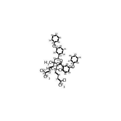 CC(C)(C=CC=C(Cl)C(F)(F)F)CC(OC(CC(C)(C)C=CC=C(Cl)C(F)(F)F)c1cccc(Oc2ccccc2)c1)c1cccc(Oc2ccccc2)c1